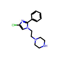 Clc1cn(CCN2CCNCC2)c(-c2ccccc2)n1